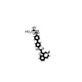 CC(C)[C@H](NS(=O)(=O)c1ccc(-c2ccc(NC(=O)c3oc4cccc5c4c3CN(C)CC5)cc2)cc1)C(=O)O